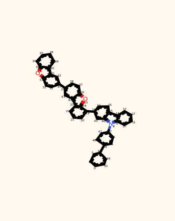 c1ccc(-c2ccc(-n3c4ccccc4c4ccc(-c5cccc6c5oc5ccc(-c7ccc8oc9ccccc9c8c7)cc56)cc43)cc2)cc1